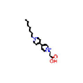 CCCCCCC[n+]1ccc(-c2cc[n+](CCC(=O)O)cc2)cc1